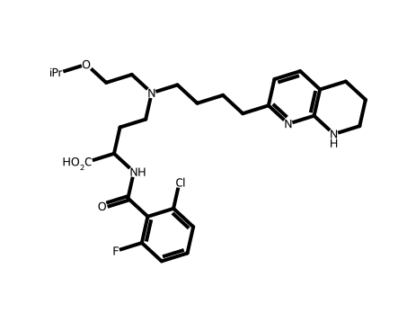 CC(C)OCCN(CCCCc1ccc2c(n1)NCCC2)CCC(NC(=O)c1c(F)cccc1Cl)C(=O)O